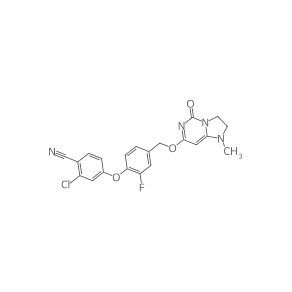 CN1CCn2c1cc(OCc1ccc(Oc3ccc(C#N)c(Cl)c3)c(F)c1)nc2=O